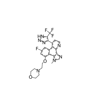 Cn1cnc2c3nccc(-c4nn[nH]c4C(F)(F)F)c3c3cc(F)cc(OCCN4CCOCC4)c3c21